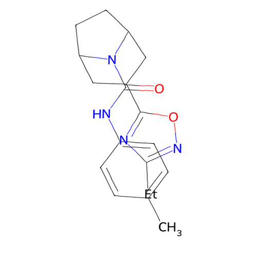 CCc1noc(C2CC3CCC(C2)N3C(=O)Nc2ccc(C)cc2)n1